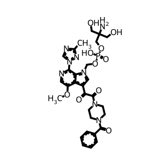 COc1cnc(-n2cnc(C)n2)c2c1c(C(=O)C(=O)N1CCN(C(=O)c3ccccc3)CC1)cn2COP(=O)(O)OCC(N)(CO)CO